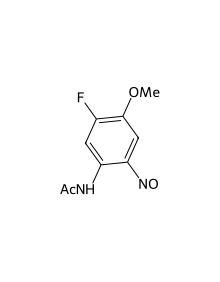 COc1cc(N=O)c(NC(C)=O)cc1F